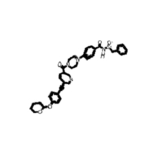 O=C(N[S+]([O-])Cc1ccccc1)c1ccc(N2CCN(C(=O)C3=CN=CC(C#Cc4ccc(OC5CCCCO5)cc4)=C=C3)CC2)cc1